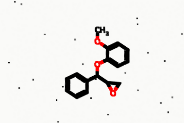 COc1ccccc1OC(c1ccccc1)C1CO1